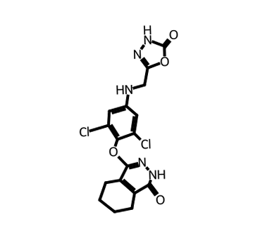 O=c1[nH]nc(CNc2cc(Cl)c(Oc3n[nH]c(=O)c4c3CCCC4)c(Cl)c2)o1